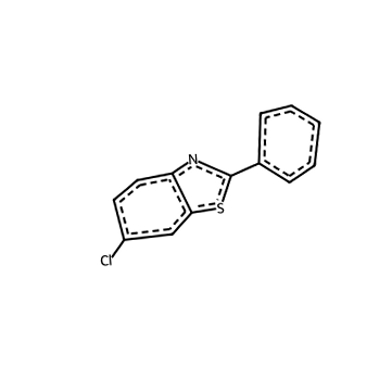 Clc1ccc2nc(-c3ccccc3)sc2c1